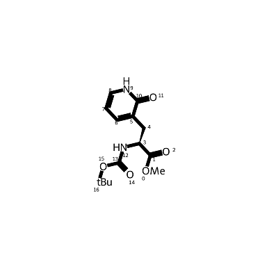 COC(=O)[C@H](Cc1ccc[nH]c1=O)NC(=O)OC(C)(C)C